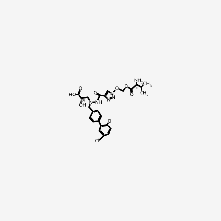 CC(C)[C@H](N)C(=O)OCOn1cc(C(=O)NN(Cc2ccc(-c3cc(Cl)ccc3Cl)cc2)C[C@@H](O)C(=O)O)nn1